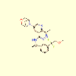 COCC(F)(F)c1cccc([C@@H](C)Nc2nnc(C)c3ncc(N4C5COCC4C5)cc23)c1